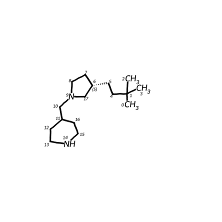 CC(C)(C)CC[C@H]1CCN(CC2CCNCC2)C1